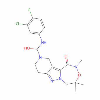 CN1OC(C)(C)Cn2nc3c(c2C1=O)CN(C(O)Nc1ccc(F)c(Cl)c1)CC3